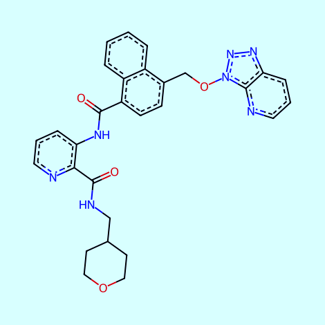 O=C(NCC1CCOCC1)c1ncccc1NC(=O)c1ccc(COn2nnc3cccnc32)c2ccccc12